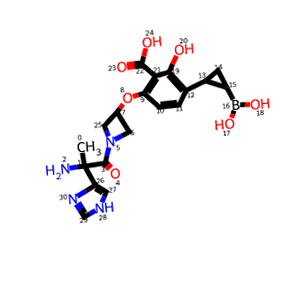 CC(N)(C(=O)N1CC(Oc2ccc(C3CC3B(O)O)c(O)c2C(=O)O)C1)c1c[nH]cn1